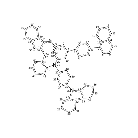 c1cc(-c2ccc(-c3cccc4ccccc34)cc2)cc(N(c2ccc(-n3c4ccccc4c4ccccc43)cc2)c2ccccc2-c2cccc3c2sc2ccccc23)c1